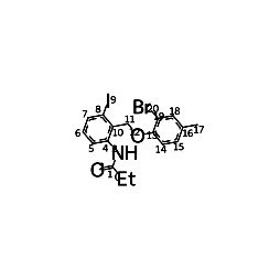 CCC(=O)Nc1cccc(I)c1COc1ccc(C)cc1Br